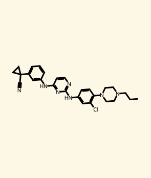 CCCN1CCN(c2ccc(Nc3nccc(Nc4cccc(C5(C#N)CC5)c4)n3)cc2Cl)CC1